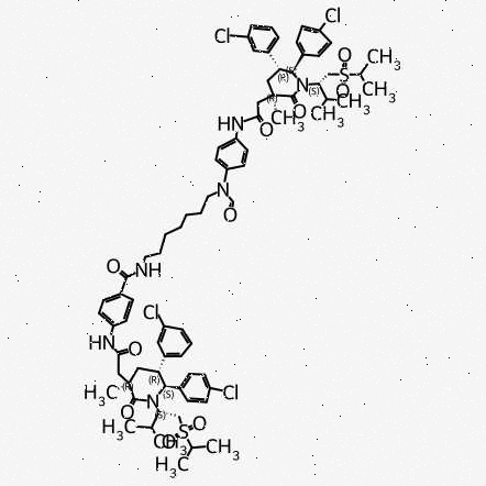 CC(C)[C@@H](CS(=O)(=O)C(C)C)N1C(=O)[C@@](C)(CC(=O)Nc2ccc(C(=O)NCCCCCCCN(C=O)c3ccc(NC(=O)C[C@@]4(C)C[C@H](c5cccc(Cl)c5)[C@@H](c5ccc(Cl)cc5)N([C@H](CS(=O)(=O)C(C)C)C(C)C)C4=O)cc3)cc2)C[C@H](c2cccc(Cl)c2)[C@H]1c1ccc(Cl)cc1